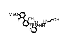 COc1cccc(-c2cccc(Nc3ncccc3C(=O)NCCNCCO)c2C)c1F